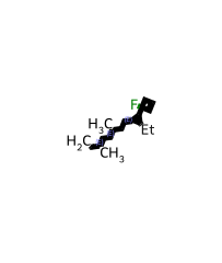 C=C/C(C)=C/C=C(\C)C/C=C1\C(CC)C1C1(F)C=CC1